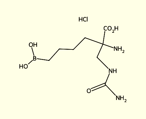 Cl.NC(=O)NCC(N)(CCCCB(O)O)C(=O)O